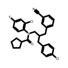 N#Cc1cccc(CC(Cc2ccc(Cl)cc2)CN(C(=O)C2CCCC2)c2ccc(F)cc2Cl)c1